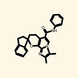 Cc1nc2c3c(c(C(=O)Nc4ccccc4)cn2c1C)CCC1(CCc2ccccc21)O3